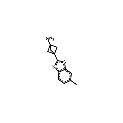 NC12CC(c3nc4ccc(F)cc4s3)(C1)C2